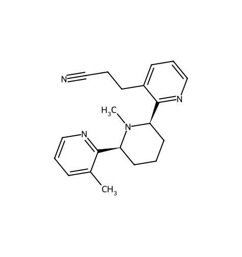 Cc1cccnc1[C@@H]1CCC[C@H](c2ncccc2CCC#N)N1C